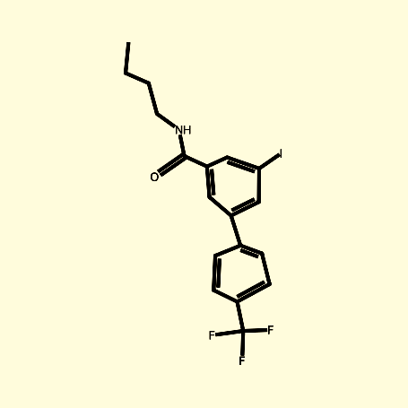 CCCCNC(=O)c1cc(I)cc(-c2ccc(C(F)(F)F)cc2)c1